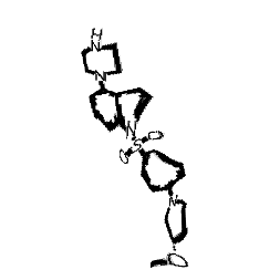 CO[C@H]1CCN(c2ccc(S(=O)(=O)n3ccc4c(N5CCNCC5)cccc43)cc2)C1